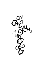 CC(C)(CNc1ccc(S(=O)(=O)N2CC=CC2)cn1)NCC(=O)N1CCC[C@H]1C#N